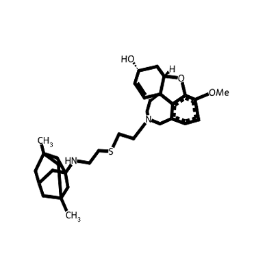 COc1ccc2c3c1O[C@H]1C[C@@H](O)C=C[C@@]31CCN(CCSCCNC13CC4CC(C)(CC(C)(C4)C1)C3)C2